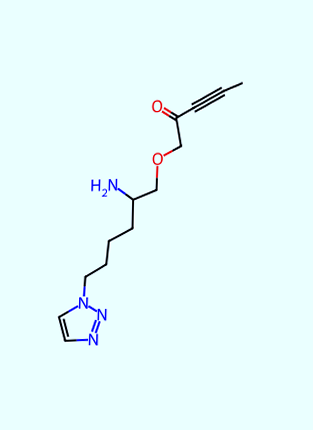 CC#CC(=O)COCC(N)CCCCn1ccnn1